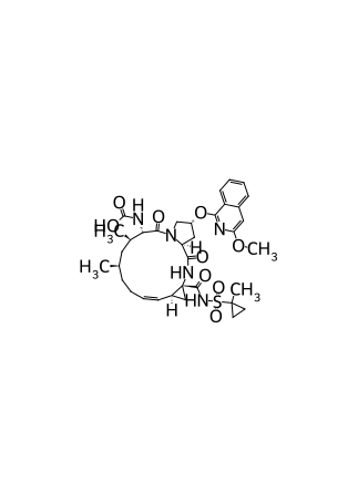 COc1cc2ccccc2c(O[C@@H]2C[C@H]3C(=O)N[C@]4(C(=O)NS(=O)(=O)C5(C)CC5)C[C@H]4C=CCC[C@@H](C)C[C@@H](C)[C@H](NC(=O)O)C(=O)N3C2)n1